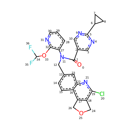 O=C(c1cnc(C2CC2)nc1)N(Cc1ccc2c3c(c(Cl)nc2c1)COC3)c1cccnc1OC(F)F